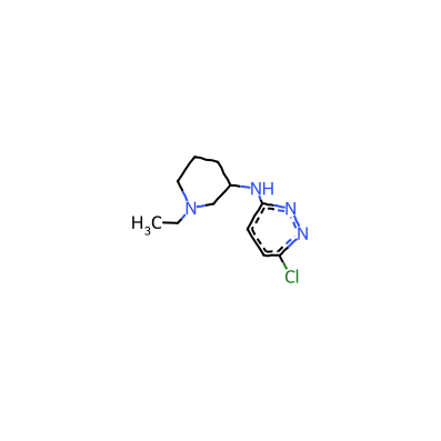 CCN1CCCC(Nc2ccc(Cl)nn2)C1